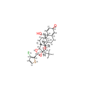 CC(C)(C)CC(=O)[C@@]12O[C@H](c3sccc3F)O[C@@H]1C[C@H]1[C@@H]3CCC4=CC(=O)C=C[C@]4(C)[C@H]3[C@@H](O)C[C@@]12C